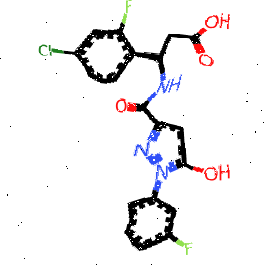 O=C(O)CC(NC(=O)c1cc(O)n(-c2cccc(F)c2)n1)c1ccc(Cl)cc1F